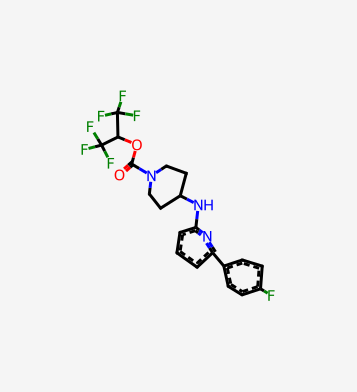 O=C(OC(C(F)(F)F)C(F)(F)F)N1CCC(Nc2cccc(-c3ccc(F)cc3)n2)CC1